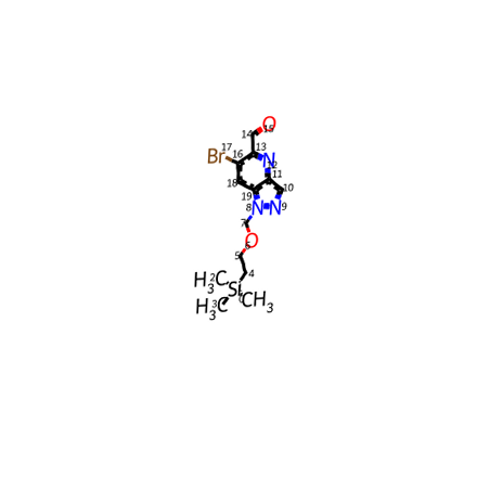 C[Si](C)(C)CCOCn1ncc2nc(C=O)c(Br)cc21